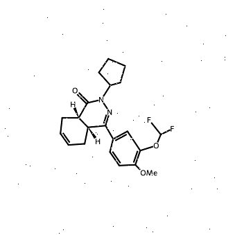 COc1ccc(C2=NN(C3CCCC3)C(=O)[C@H]3CC=CC[C@@H]23)cc1OC(F)F